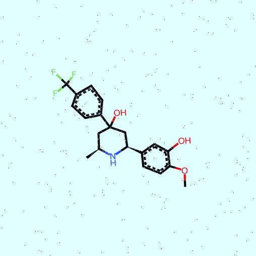 COc1ccc([C@@H]2CC(O)(c3ccc(C(F)(F)F)cc3)C[C@H](C)N2)cc1O